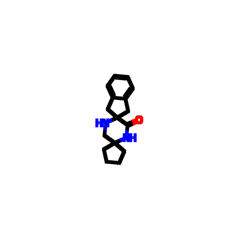 O=C1NC2(CCCC2)CNC12Cc1ccccc1C2